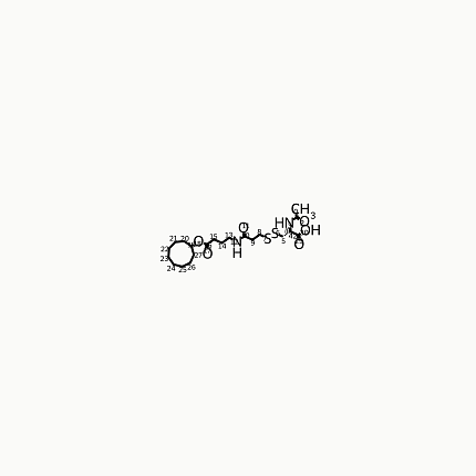 CC(=O)N[C@@H](CSSCCC(=O)NCCCC(=O)OC1CCCCCCCC1)C(=O)O